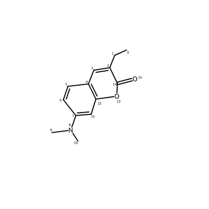 CCc1cc2ccc(N(C)C)cc2oc1=O